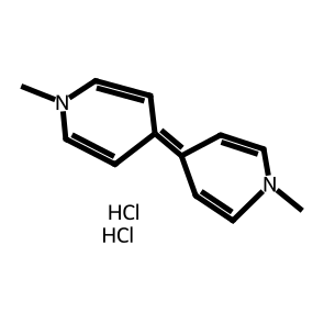 CN1C=CC(=C2C=CN(C)C=C2)C=C1.Cl.Cl